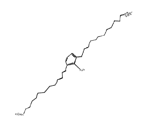 [CH2]CCc1c(CCCCCCCCCCCCCCCCCCCCCC)cccc1CCCCCCCCCCCCCCCCCCCCCC